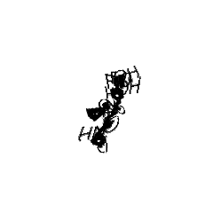 O=C(CCNC(=O)C(Cc1ccc(C(F)(F)P(=O)(O)O)cc1)NS(=O)(=O)c1ccccc1)Nc1ccc(Cl)cc1